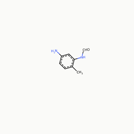 Cc1ccc(N)cc1NC=O